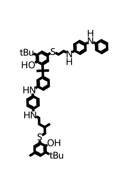 Cc1cc(SCC(C)CCNc2ccc(Nc3cccc(C(C)(C)c4cc(SCCNc5ccc(Nc6ccccc6)cc5)cc(C(C)(C)C)c4O)c3)cc2)c(O)c(C(C)(C)C)c1